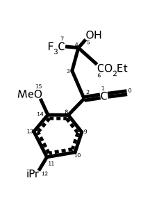 C=C=C(CC(O)(C(=O)OCC)C(F)(F)F)c1ccc(C(C)C)cc1OC